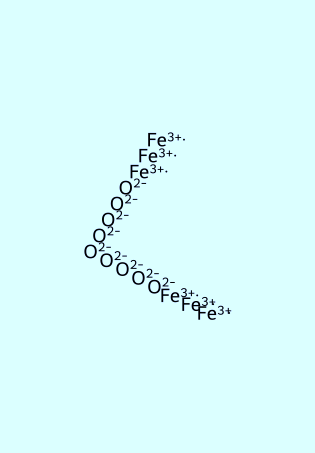 [Fe+3].[Fe+3].[Fe+3].[Fe+3].[Fe+3].[Fe+3].[O-2].[O-2].[O-2].[O-2].[O-2].[O-2].[O-2].[O-2].[O-2]